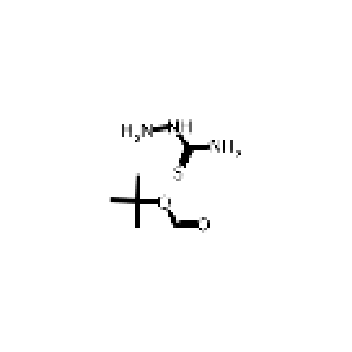 CC(C)(C)OC=O.NNC(N)=S